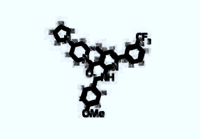 COc1ccc(CNc2nc(-c3cccc(C(F)(F)F)c3)cc(C)c2C(=O)N2CCC(N3CCCC3)CC2)cc1